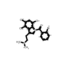 CN(C)CCc1cn(C(=O)c2ccccc2Br)c2c(Cl)cc(Cl)c(Cl)c12